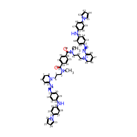 CN(CCC[n+]1ccccc1N=Nc1ccc(Nc2ccc(-n3cccc3)cc2)cc1)C(=O)c1ccc(C(=O)N(C)CCC[n+]2ccccc2/N=N/c2ccc(Nc3ccc(-n4cccc4)cc3)cc2)cc1